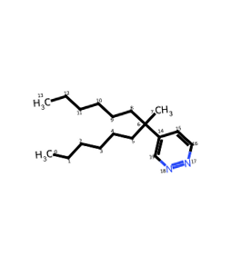 CCCCCCC(C)(CCCCCC)c1ccnnc1